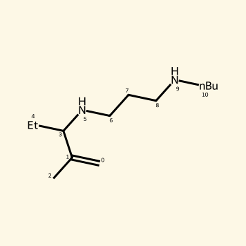 C=C(C)C(CC)NCCCNCCCC